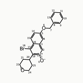 [O-][n+]1cc2cc(OCc3ccccc3)ccc2c(Br)c1C1CCOCC1